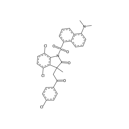 CN(C)c1cccc2c(S(=O)(=O)N3C(=O)C(C)(CC(=O)c4ccc(Cl)cc4)c4c(Cl)ccc(Cl)c43)cccc12